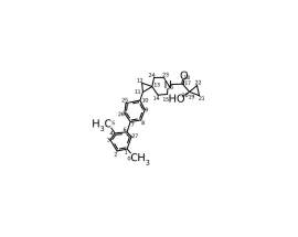 Cc1ccc(C)c(-c2ccc(C3CC34CCN(C(=O)C3(O)CC3)CC4)cc2)c1